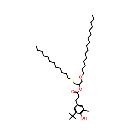 CCCCCCCCCCCCCCCCOCC(CSCCCCCCCCCCCC)OC(=O)CCc1cc(C)c(O)c(C(C)(C)C)c1